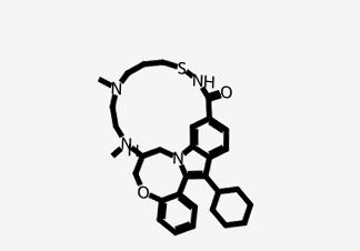 CN1CCCSNC(=O)c2ccc3c(C4CCCCC4)c4n(c3c2)C[C@H](COc2ccccc2-4)N(C)CC1